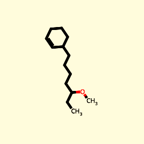 CCC(CCCCC1C=CCCC1)OC